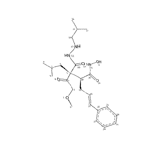 COCC(=O)[C@](CC(C)C)(C(=O)NNCC(C)C)[C@H](CC=Cc1ccccc1)C(=O)NO